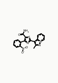 Cc1nn2ccccc2c1-c1nc(-c2ccccc2[N+](=O)[O-])c(C(N)=O)s1